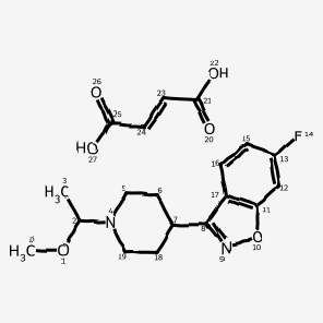 COC(C)N1CCC(c2noc3cc(F)ccc23)CC1.O=C(O)C=CC(=O)O